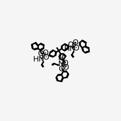 C=CCNP(=O)(Oc1ccc(C(C)(c2ccc(OP(=O)(NCC=C)Oc3cccc4ccccc34)cc2)c2ccc(OP(=O)(NCC=C)Oc3cccc4ccccc34)cc2)cc1)Oc1cccc2ccccc12